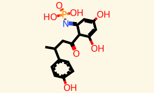 CC(CC(=O)C1C(O)=CC(O)=CC1=NP(=O)(O)O)c1ccc(O)cc1